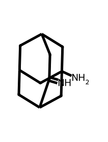 N=C1CC2CC3CC1CC(N)(C2)C3